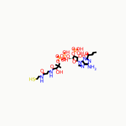 CC=CC(=O)c1nc(N)c2ncn([C@@H]3O[C@H](COP(=O)(O)OP(=O)(O)OCC(C)(C)[C@@H](O)C(=O)NCCC(=O)NCCS)[C@@H](OP(=O)(O)O)[C@H]3O)c2n1